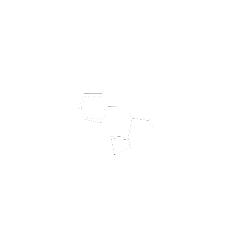 O=C(O)C(C(=O)O)C(Cc1ccccc1)C1=CCC1